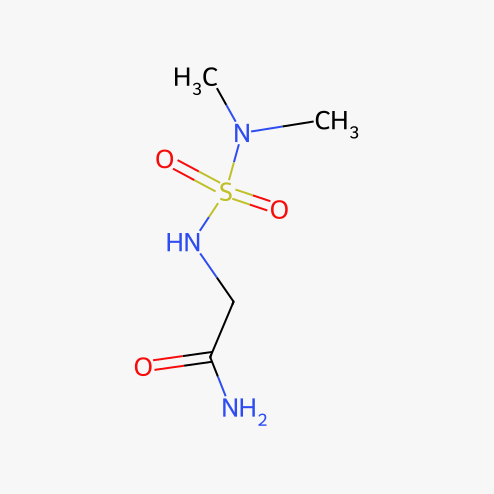 CN(C)S(=O)(=O)NCC(N)=O